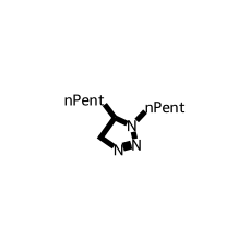 CCCCCC1CN=NN1CCCCC